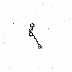 BrCCCCCCCc1cccc(OCc2ccccc2)c1